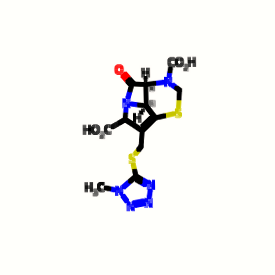 Cn1nnnc1SCC1=C2SCN(C(=O)O)[C@@H]3C(=O)N(C1C(=O)O)[C@H]23